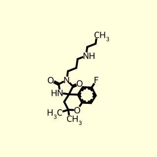 CCCNCCCN1C(=O)NC2(CC(C)(C)Oc3ccc(F)cc32)C1=O